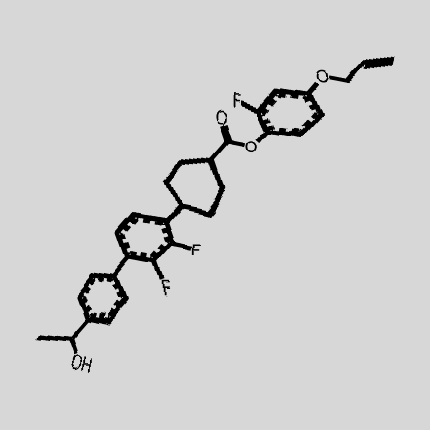 C=CCOc1ccc(OC(=O)C2CCC(c3ccc(-c4ccc(C(C)O)cc4)c(F)c3F)CC2)c(F)c1